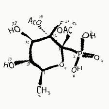 CC(=O)O[C@@]1(P(=O)(O)O)O[C@@H](C)[C@@H](O)[C@@H](O)[C@]1(F)OC(C)=O